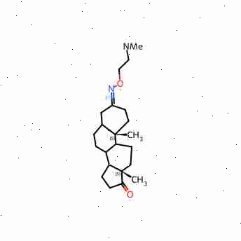 CNCCO/N=C1\CC[C@@]2(C)C(CCC3C2CC[C@]2(C)C(=O)CCC32)C1